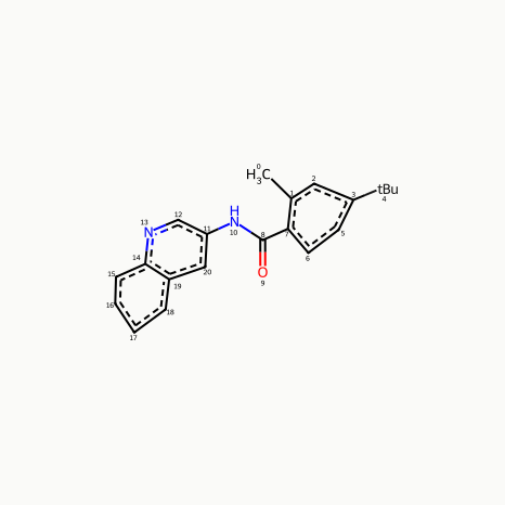 Cc1cc(C(C)(C)C)ccc1C(=O)Nc1cnc2ccccc2c1